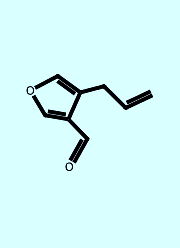 C=CCc1cocc1C=O